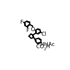 CC(=O)Nc1ccc(C2=C(c3cc(Cl)ccc3OCc3ccc(F)cc3F)CCC2)cc1C(=O)O